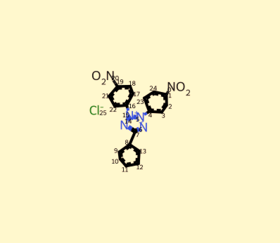 O=[N+]([O-])c1ccc(-n2nc(-c3ccccc3)n[n+]2-c2ccc([N+](=O)[O-])cc2)cc1.[Cl-]